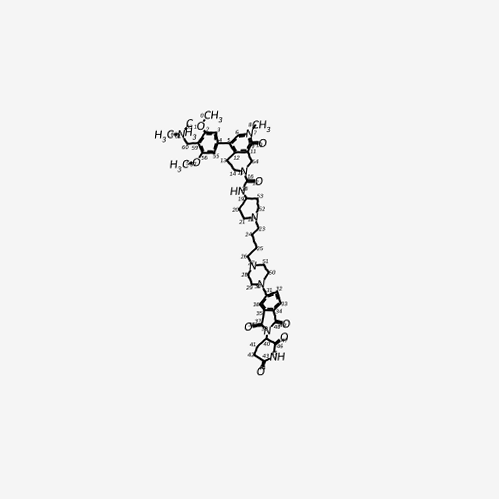 COc1cc(-c2cn(C)c(=O)c3c2CCN(C(=O)NC2CCN(CCCCN4CCN(c5ccc6c(c5)C(=O)N(C5CCC(=O)NC5=O)C6=O)CC4)CC2)C3)cc(OC)c1CN(C)C